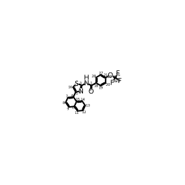 O=C(Nc1nc(-c2cccc3ccccc23)cs1)c1ccc(OC(F)(F)F)cc1